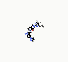 Cc1cc(C)nc(N2CCC3(CCCN(Cc4c[nH]c5ccc(-n6cccn6)cc45)C3=O)CC2)n1